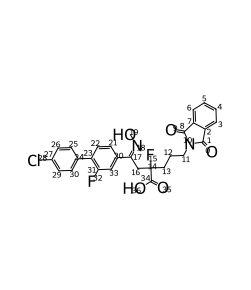 O=C1c2ccccc2C(=O)N1CCCC(F)(CC(=NO)c1ccc(-c2ccc(Cl)cc2)c(F)c1)C(=O)O